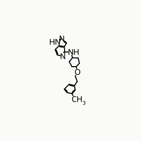 Cc1cccc(CCOC2CCC(Nc3nccc4[nH]ncc34)CC2)c1